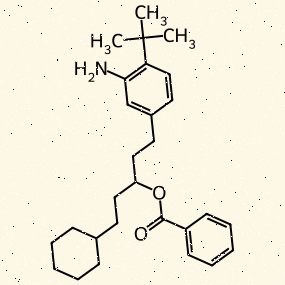 CC(C)(C)c1ccc(CCC(CCC2CCCCC2)OC(=O)c2ccccc2)cc1N